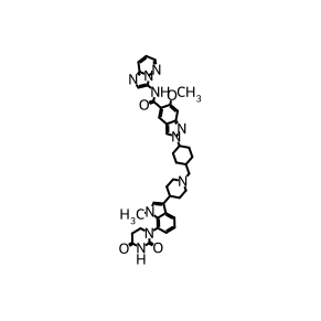 COc1cc2nn(C3CCC(CN4CCC(c5cn(C)c6c(N7CCC(=O)NC7=O)cccc56)CC4)CC3)cc2cc1C(=O)Nc1cnc2cccnn12